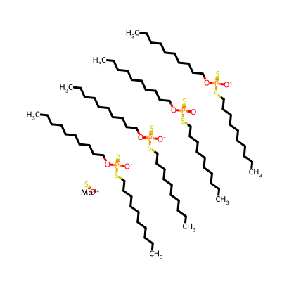 CCCCCCCCCCOP([O-])(=S)SCCCCCCCCCC.CCCCCCCCCCOP([O-])(=S)SCCCCCCCCCC.CCCCCCCCCCOP([O-])(=S)SCCCCCCCCCC.CCCCCCCCCCOP([O-])(=S)SCCCCCCCCCC.O=S.[Mo+4]